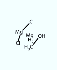 CO.[Cl][Mg][Cl].[MgH2]